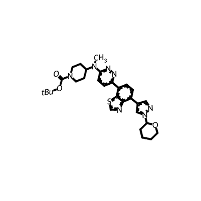 CN(c1ccc(-c2ccc(-c3cnn(C4CCCCO4)c3)c3ncsc23)nn1)C1CCN(C(=O)OC(C)(C)C)CC1